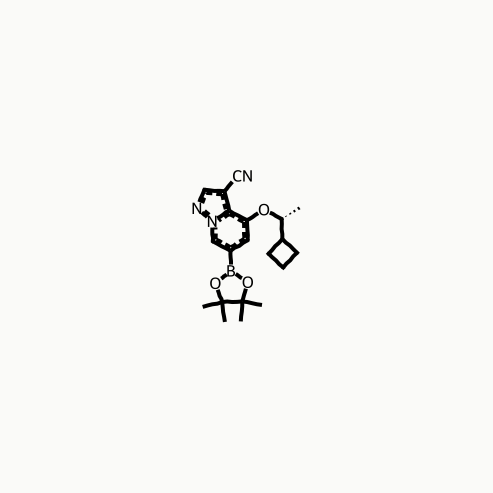 C[C@@H](Oc1cc(B2OC(C)(C)C(C)(C)O2)cn2ncc(C#N)c12)C1CCC1